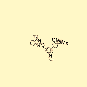 COc1ccc(-c2cc(COc3nc(N(C)C)c4ccccc4n3)nc(N3CCCC3)n2)cc1OC